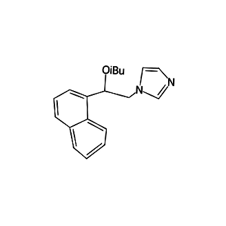 CC(C)COC(Cn1ccnc1)c1cccc2ccccc12